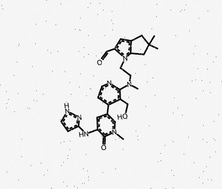 CN(CCn1c(C=O)cc2c1CC(C)(C)C2)c1nccc(-c2cc(Nc3cc[nH]n3)c(=O)n(C)c2)c1CO